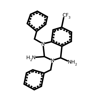 NC1c2ccc(C(F)(F)F)cc2N(Cc2ccccc2)C(N)N1Cc1ccccc1